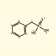 OP(=S)(S)Cc1ccccc1